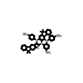 CC(C)(C)c1ccc(N2c3ccc(C(C)(C)C)cc3B3c4sc5cc6c(cc5c4N(c4ccc(C(C)(C)C)cc4)c4cc5c(c2c43)-c2ccccc2C5(C)C)-c2ccccc2C6(C)C)cc1